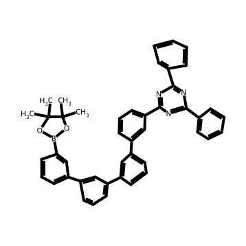 CC1(C)OB(c2cccc(-c3cccc(-c4cccc(-c5cccc(-c6nc(-c7ccccc7)nc(-c7ccccc7)n6)c5)c4)c3)c2)OC1(C)C